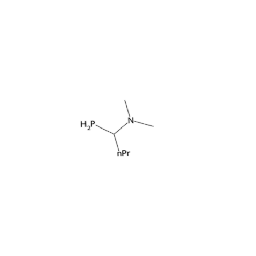 CCCC(P)N(C)C